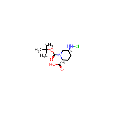 CC(C)(C)OC(=O)N1C[C@@H](NCl)CC[C@@H]1C(=O)O